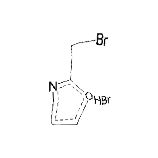 Br.BrCc1ncco1